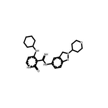 N=C(Nc1ccc2c(c1)CN(C1CCOCC1)S2)c1c(NC2CCCCC2)cc[nH]c1=O